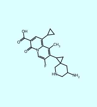 Cc1c(C2CC23CNCC(N)C3)c(F)cn2c(=O)c(C(=O)O)cc(C3CC3)c12